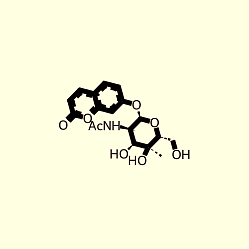 CC(=O)N[C@H]1[C@H](Oc2ccc3ccc(=O)oc3c2)O[C@H](CO)[C@@](C)(O)[C@@H]1O